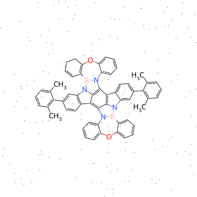 Cc1cccc(C)c1-c1ccc2c3c4c5c(c6c3n(c2c1)B1C2=C(CCC=C2)Oc2ccccc2N16)c1ccc(-c2c(C)cccc2C)cc1n5B1c2ccccc2Oc2ccccc2N14